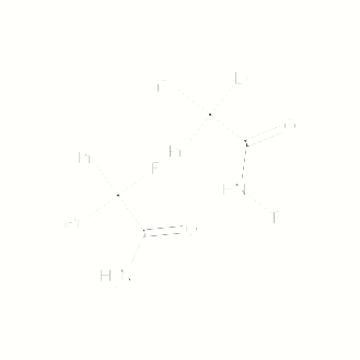 CCC(C(N)=O)(C(C)C)C(C)C.CCNC(=O)C(CC)(C(C)C)C(C)C